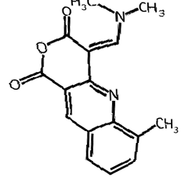 Cc1cccc2cc3c(nc12)C(=CN(C)C)C(=O)OC3=O